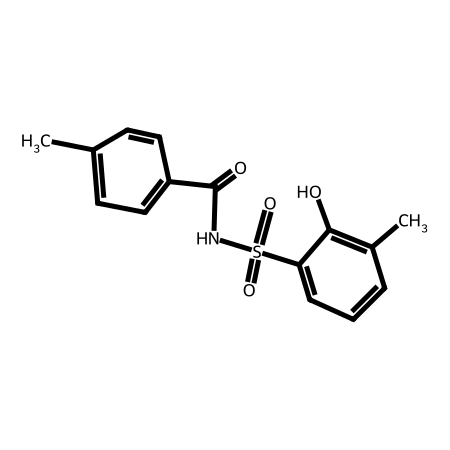 Cc1ccc(C(=O)NS(=O)(=O)c2cccc(C)c2O)cc1